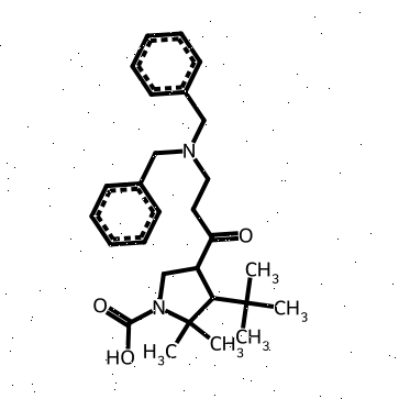 CC(C)(C)C1C(C(=O)CCN(Cc2ccccc2)Cc2ccccc2)CN(C(=O)O)C1(C)C